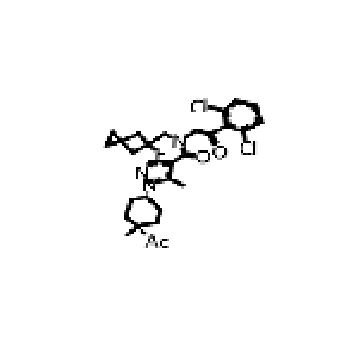 Cc1c(C(=O)N(CC(=O)c2c(Cl)cccc2Cl)CC2(F)CC3(CC3)C2)cnn1[C@H]1CC[C@](C)(C(C)=O)CC1